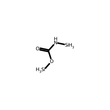 O=C(N[SiH3])O[SiH3]